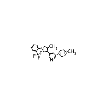 CC1CN(c2cc[c]cc2C(F)(F)F)CC1c1cncc(N2CCN(C)CC2)c1